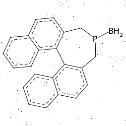 BP1Cc2ccc3ccccc3c2-c2c(ccc3ccccc23)C1